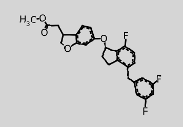 COC(=O)CC1COc2cc(O[C@@H]3CCc4c(Cc5cc(F)cc(F)c5)ccc(F)c43)ccc21